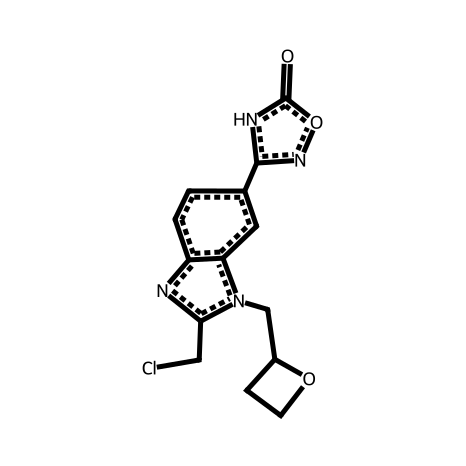 O=c1[nH]c(-c2ccc3nc(CCl)n(CC4CCO4)c3c2)no1